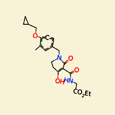 CCOC(=O)CNC(=O)C1=C(O)CCN(Cc2ccc(OCC3CC3)c(C)c2)C1=O